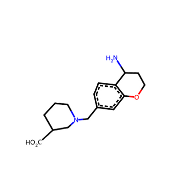 NC1CCOc2cc(CN3CCCC(C(=O)O)C3)ccc21